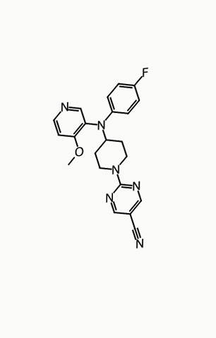 COc1ccncc1N(c1ccc(F)cc1)C1CCN(c2ncc(C#N)cn2)CC1